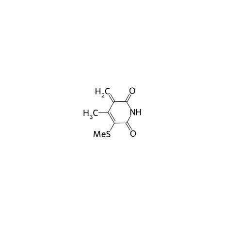 C=C1C(=O)NC(=O)C(SC)=C1C